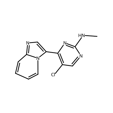 CNc1ncc(Cl)c(-c2cnc3ccccn23)n1